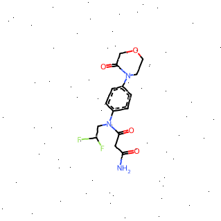 NC(=O)CC(=O)N(CC(F)F)c1ccc(N2CCOCC2=O)cc1